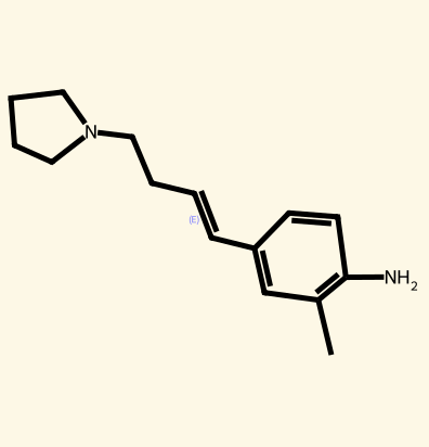 Cc1cc(/C=C/CCN2CCCC2)ccc1N